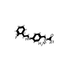 CCC(=O)N(N)Cc1ccc(NCCc2ccccc2F)cc1